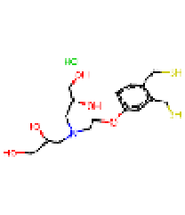 Cl.OC[C@@H](O)CN(CCOc1ccc(CS)c(CS)c1)C[C@H](O)CO